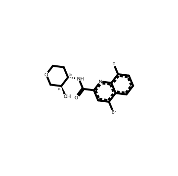 O=C(N[C@H]1CCOC[C@@H]1O)c1cc(Br)c2cccc(F)c2n1